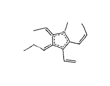 C=Cc1c(/C=C\C)n(C)c(=C/C)/c1=C\CC